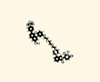 CS(=O)(=O)c1ccc(-c2ccc3cc(O)ccc3c2Oc2ccc(OCCOCCOCCN3CCN(c4cccc5c4CN(C4CCC(=O)NC4=O)C5=O)CC3)cc2)cc1